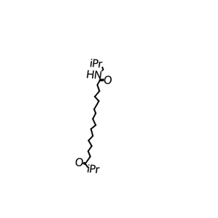 CC(C)CNC(=O)CCCCCCCCCCCCCCC(=O)C(C)C